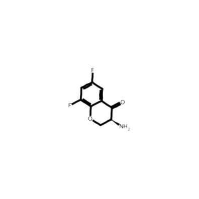 N[C@H]1COc2c(F)cc(F)cc2C1=O